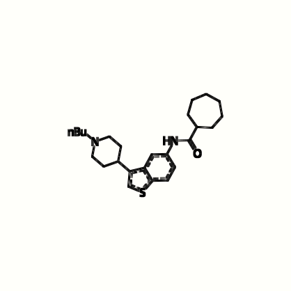 CCCCN1CCC(c2csc3ccc(NC(=O)C4CCCCCC4)cc23)CC1